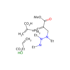 C=C(CCC)C(=O)O.C=C(CN(CC)N(CC)[N]CC)C(=O)OC.C=CC(=O)OCC.Cl